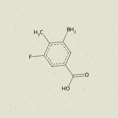 Bc1cc(C(=O)O)cc(F)c1C